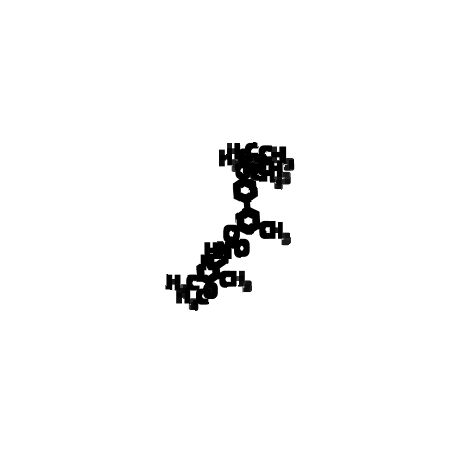 COc1c(C)cnc(CNC(=O)Oc2cc(C)cc(-c3ccc(O[Si](C)(C)C(C)(C)C)cc3)c2)c1C